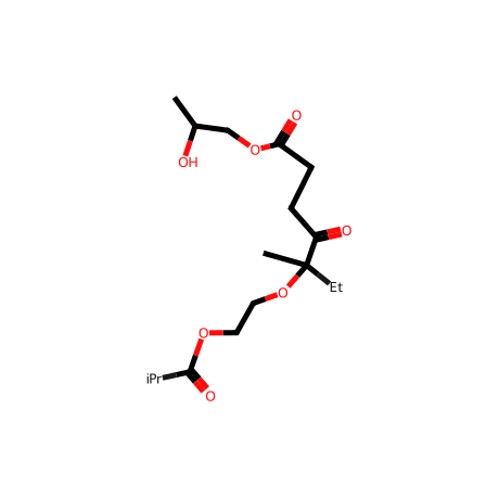 CCC(C)(OCCOC(=O)C(C)C)C(=O)CCC(=O)OCC(C)O